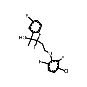 CC(O)(c1cccc(F)c1)C(F)(F)CCOc1c(F)ccc(Cl)c1F